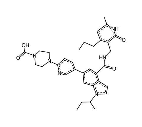 CCCc1cc(C)[nH]c(=O)c1CNC(=O)c1cc(-c2ccc(N3CCN(C(=O)O)CC3)nc2)cc2c1ccn2C(C)CC